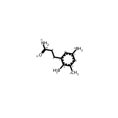 Bc1cc(C)c(B)c(CCC(N)=O)c1